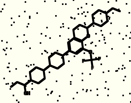 CCC1CCC(C2CCc3cc(C4CCC(C5CCC(C(O)CC)CC5)CC4)cc(OC(F)(F)F)c3O2)CC1